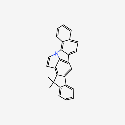 CC1(C)c2ccccc2-c2cc3c4ccc5ccccc5c4n4ccc(c21)c34